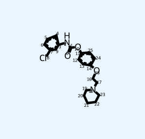 O=C(Nc1cccc(Cl)c1)Oc1ccc(OCCN2CCCCC2)cc1